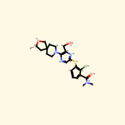 C[C@H]1CC2(CCN(c3ncc(Sc4cccc(C(=O)N(C)C)c4Cl)nc3CO)CC2)CO1